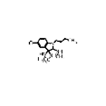 CCCCN1c2ccc(Cl)cc2C(NC)(NC)C1NC